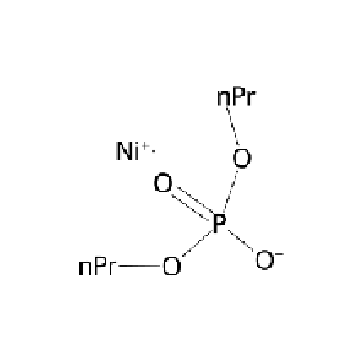 CCCOP(=O)([O-])OCCC.[Ni+]